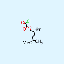 CO[C@H](C)CC[C@H](COC(=O)C(=O)Cl)C(C)C